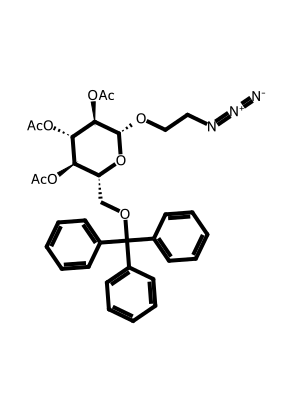 CC(=O)O[C@@H]1[C@@H](OC(C)=O)[C@H](OCCN=[N+]=[N-])O[C@H](COC(c2ccccc2)(c2ccccc2)c2ccccc2)[C@H]1OC(C)=O